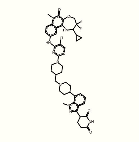 Cn1nc(C2CCC(=O)NC2=O)c2cccc(C3CCN(CC4CCN(c5ncc(Cl)c(Nc6ccc7c(c6)c6c(c(=O)n7C)OCC(F)(F)C(C7CC7)N6)n5)CC4)CC3)c21